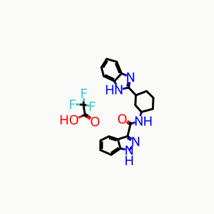 O=C(NC1CCCC(c2nc3ccccc3[nH]2)C1)c1n[nH]c2ccccc12.O=C(O)C(F)(F)F